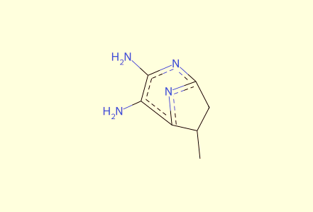 CC1Cc2nc(N)c(N)c1n2